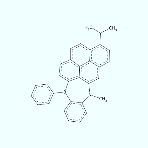 CC(C)c1ccc2cc3c4c(ccc5ccc1c2c54)B(c1ccccc1)c1ccccc1N3C